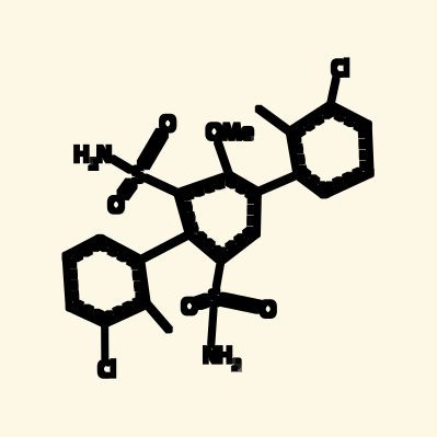 COc1c(-c2cccc(Cl)c2C)cc(S(N)(=O)=O)c(-c2cccc(Cl)c2C)c1S(N)(=O)=O